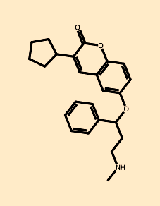 CNCCC(Oc1ccc2oc(=O)c(C3CCCC3)cc2c1)c1ccccc1